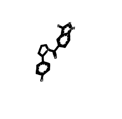 O=C(c1ccc2[nH]nc(F)c2c1)N1CCCC1c1ccc(Cl)cc1